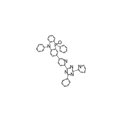 O=P1(c2ccccc2)c2ccccc2N(c2ccccc2)c2ccc(-c3ccc(-c4nc(-c5ccccc5)nc(-c5ccccn5)n4)nc3)cc21